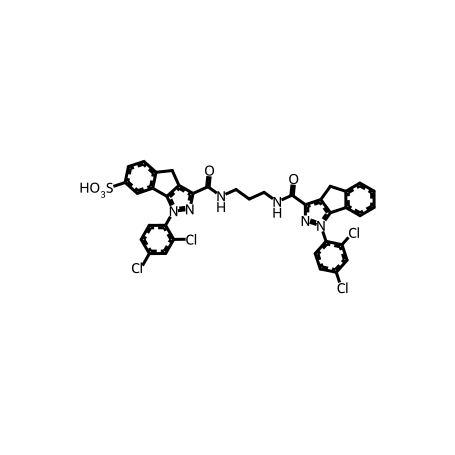 O=C(NCCCNC(=O)c1nn(-c2ccc(Cl)cc2Cl)c2c1Cc1ccc(S(=O)(=O)O)cc1-2)c1nn(-c2ccc(Cl)cc2Cl)c2c1Cc1ccccc1-2